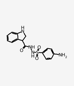 Nc1ccc(S(=O)(=O)NNC(=O)C2CNc3ccccc32)cc1